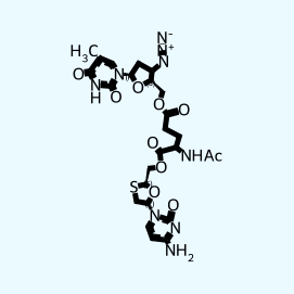 CC(=O)NC(CCC(=O)OC[C@H]1O[C@@H](n2cc(C)c(=O)[nH]c2=O)CC1N=[N+]=[N-])C(=O)OC[C@H]1O[C@@H](n2ccc(N)nc2=O)CS1